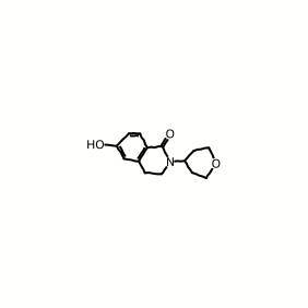 O=C1c2ccc(O)cc2CCN1C1CCOCC1